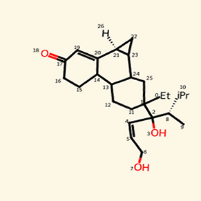 CCC1(C(O)(/C=C\CO)[C@@H](C)C(C)C)CCC2C3CCC(=O)C=C3[C@H]3CC3C2C1